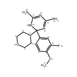 COc1ccc(C2(N3CCOCC3)N=C(N)N=C(N)N2)cc1F